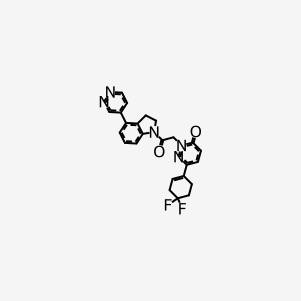 O=C(Cn1nc(C2=CCC(F)(F)CC2)ccc1=O)N1CCc2c(-c3ccnnc3)cccc21